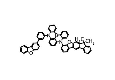 CC1(C)c2ccccc2-c2cc3c(cc21)oc1c(N2c4ccccc4B4c5ccccc5N(c5cccc(-c6ccc7oc8ccccc8c7c6)c5)c5cccc2c54)cccc13